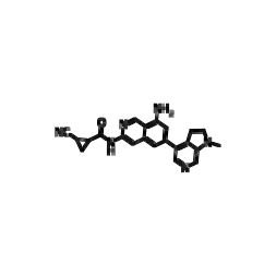 Cn1ccc2c(-c3cc(N)c4cnc(NC(=O)C5CC5C#N)cc4c3)cncc21